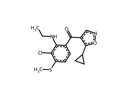 CCNc1c(C(=O)c2cnoc2C2CC2)ccc(SC)c1Cl